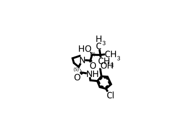 CC(C)(C)[C@@H](O)C(=O)N1CCC[C@H]1C(=O)NCc1cc(Cl)ccc1CO